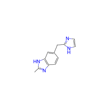 Cc1nc2ccc(Cc3ncc[nH]3)cc2[nH]1